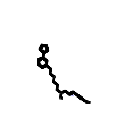 CCN(C/C=C/C#CC(C)(C)C)CCCOCCc1cccc(-c2ccsc2)c1